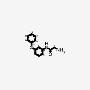 NCC(=O)Nc1cccc(Sc2ccccc2)c1